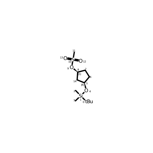 CC(C)(C)[Si](C)(C)O[C@@H]1CC[C@H](OS(C)(=O)=O)C1